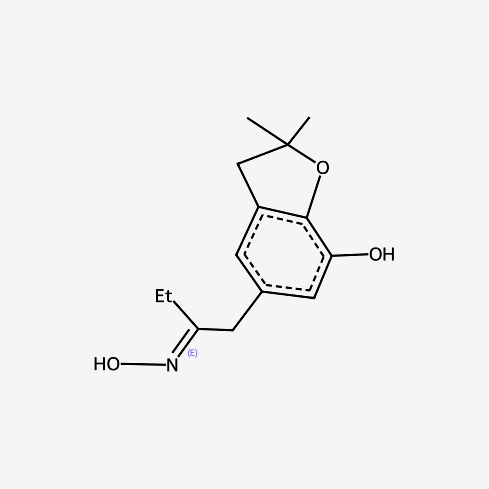 CC/C(Cc1cc(O)c2c(c1)CC(C)(C)O2)=N\O